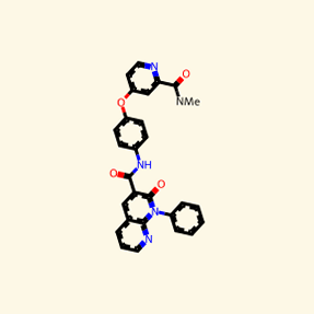 CNC(=O)c1cc(Oc2ccc(NC(=O)c3cc4cccnc4n(-c4ccccc4)c3=O)cc2)ccn1